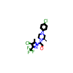 Cc1c(Cl)c(C(F)(F)F)nn1C(C=O)N1CCN(c2ccc(Cl)cc2)C[C@H]1C